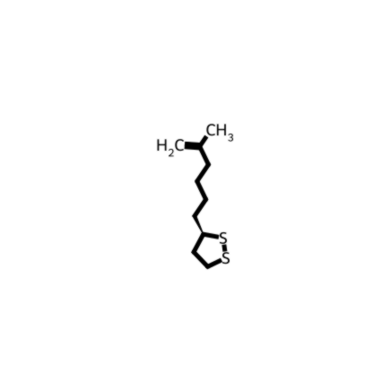 C=C(C)CCCC[C@@H]1CCSS1